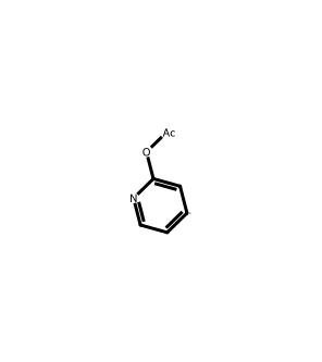 CC(=O)Oc1c[c]ccn1